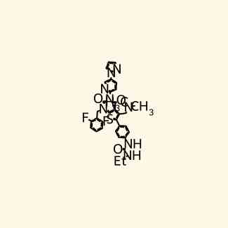 CCNC(=O)Nc1ccc(-c2sc3c(c2CN(C)C)c(=O)n(-c2ccc(-n4cccn4)cn2)c(=O)n3Cc2c(F)cccc2F)cc1